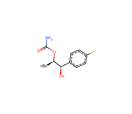 CCCC[C@@H](OC(N)=O)[C@H](O)c1ccc(F)cc1